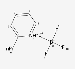 CCCc1cccc[nH+]1.F[B-](F)(F)F